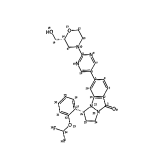 O=c1c2ccc(-c3cnc(N4CCO[C@@H](CO)C4)nc3)cc2n2n1CC[C@@H]2c1ccccc1OC(F)F